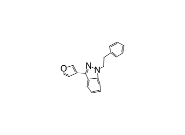 c1ccc(CCn2nc(-c3ccoc3)c3ccccc32)cc1